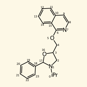 CC(C)N1CC(COc2nccc3ccccc23)OC1c1ccccc1